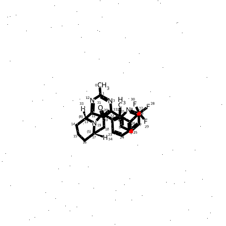 Cc1nc(-c2ccccn2)c2c(n1)[C@H]1CCC[C@@H](C2)N1C(=O)c1cccc(C(F)(F)F)c1C